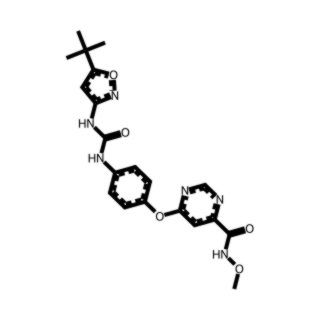 CONC(=O)c1cc(Oc2ccc(NC(=O)Nc3cc(C(C)(C)C)on3)cc2)ncn1